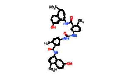 Cc1ccc(NC(=O)Nc2ccc(C)c(C(=O)Nc3ccc(S(=O)(=O)O)c4ccc(O)cc34)c2)cc1C(=O)Nc1ccc(S(=O)(=O)O)c2ccc(O)cc12